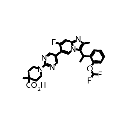 Cc1nc2cc(F)c(-c3cnc(N4CCC(C)(C(=O)O)CC4)nc3)cn2c1C(C)c1ccccc1OC(F)F